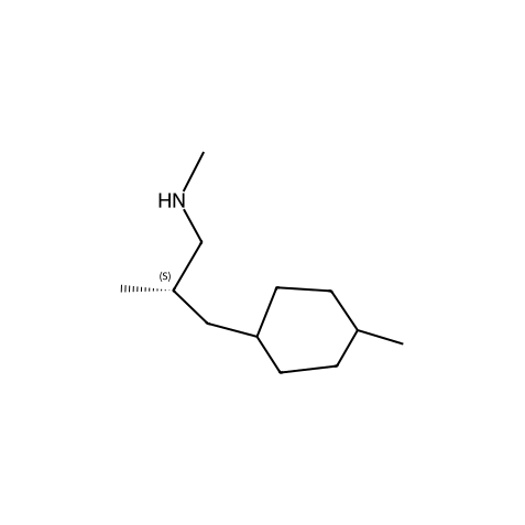 CNC[C@@H](C)CC1CCC(C)CC1